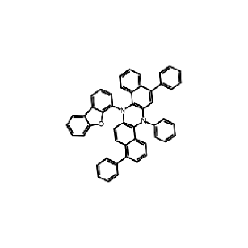 c1ccc(-c2cccc3c4c(ccc23)N(c2cccc3c2oc2ccccc23)c2c(cc(-c3ccccc3)c3ccccc23)N4c2ccccc2)cc1